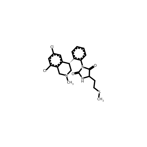 CSCCC1NC(=O)N(c2ccccc2[C@@H]2CN(C)Cc3c(Cl)cc(Cl)cc32)C1=O